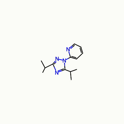 CC(C)c1nc(C(C)C)n(-c2ccccn2)n1